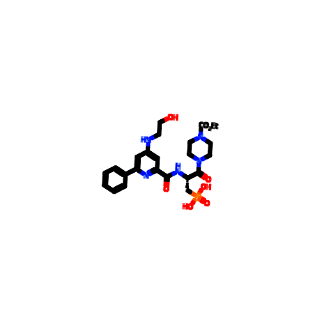 CCOC(=O)N1CCN(C(=O)[C@H](CP(=O)(O)O)NC(=O)c2cc(NCCO)cc(-c3ccccc3)n2)CC1